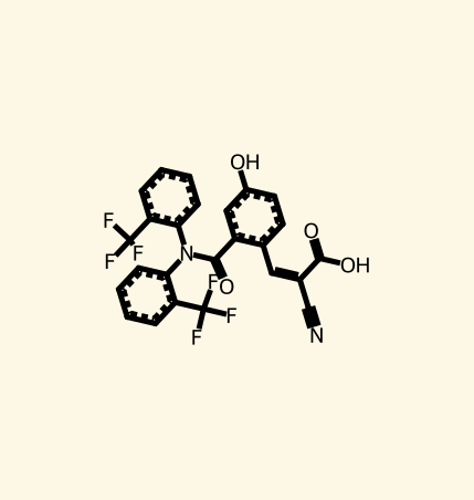 N#CC(=Cc1ccc(O)cc1C(=O)N(c1ccccc1C(F)(F)F)c1ccccc1C(F)(F)F)C(=O)O